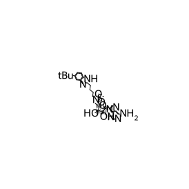 CC(C)(C)c1ccc2[nH]c(CCCCN(C[C@H]3O[C@@H](n4cnc5c(N)ncnc54)[C@H](O)[C@H]3O)S(C)(=O)=O)nc2c1